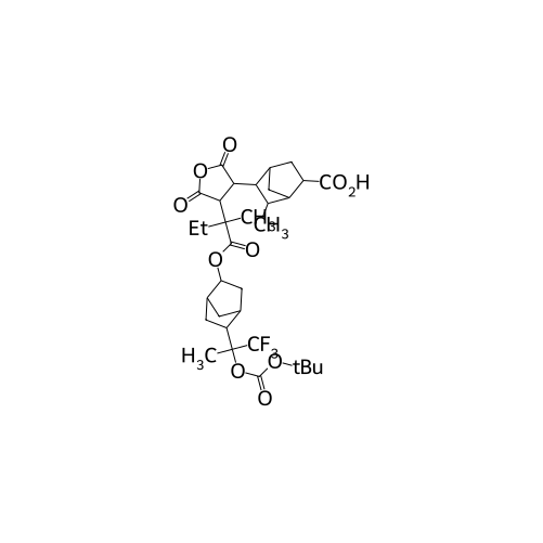 CCC(C)(C(=O)OC1CC2CC1CC2C(C)(OC(=O)OC(C)(C)C)C(F)(F)F)C1C(=O)OC(=O)C1C1C2CC(C(=O)O)C(C2)C1C